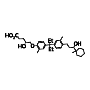 CCC(CC)(c1ccc(CCC(O)C2(C)CCCCC2)c(C)c1)c1ccc(OC[C@H](O)CCC(=O)O)c(C)c1